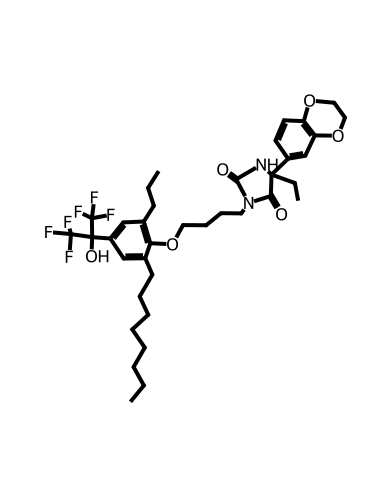 CCCCCCCCc1cc(C(O)(C(F)(F)F)C(F)(F)F)cc(CCC)c1OCCCCN1C(=O)NC(CC)(c2ccc3c(c2)OCCO3)C1=O